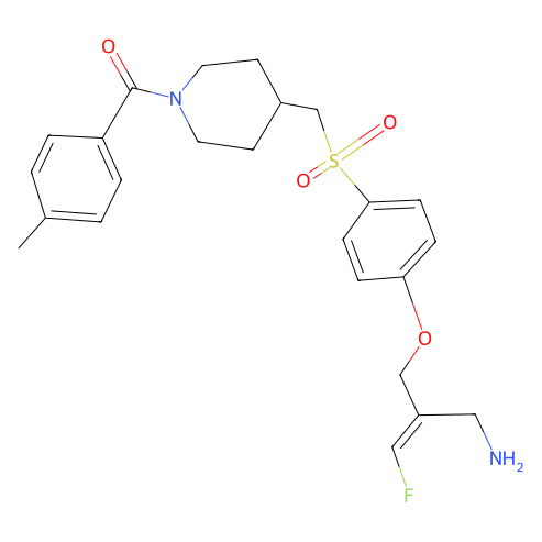 Cc1ccc(C(=O)N2CCC(CS(=O)(=O)c3ccc(OC/C(=C/F)CN)cc3)CC2)cc1